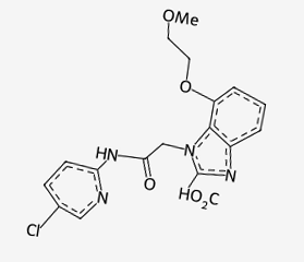 COCCOc1cccc2nc(C(=O)O)n(CC(=O)Nc3ccc(Cl)cn3)c12